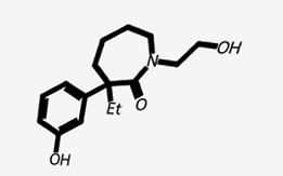 CCC1(c2cccc(O)c2)CCCCN(CCO)C1=O